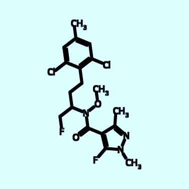 CON(C(=O)c1c(C)nn(C)c1F)C(CF)CCc1c(Cl)cc(C)cc1Cl